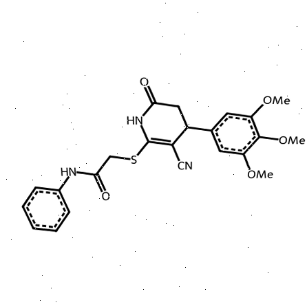 COc1cc(C2CC(=O)NC(SCC(=O)Nc3ccccc3)=C2C#N)cc(OC)c1OC